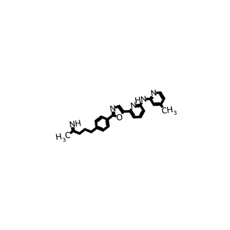 CC(=N)CCCc1ccc(-c2ncc(-c3cccc(Nc4cc(C)ccn4)n3)o2)cc1